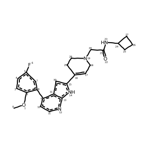 COc1ccc(F)cc1-c1ccnc2[nH]c(C3=CCN(CC(=O)NC4CCC4)CC3)cc12